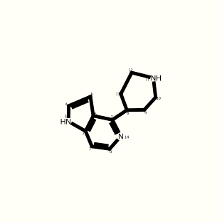 c1cc2[nH]ccc2c(C2CCNCC2)n1